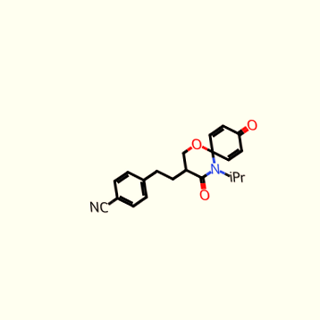 CC(C)N1C(=O)C(CCc2ccc(C#N)cc2)COC12C=CC(=O)C=C2